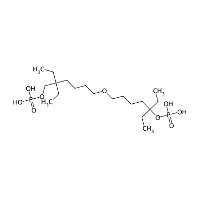 CCC(CC)(CCCCOCCCCC(CC)(CC)OP(=O)(O)O)COP(=O)(O)O